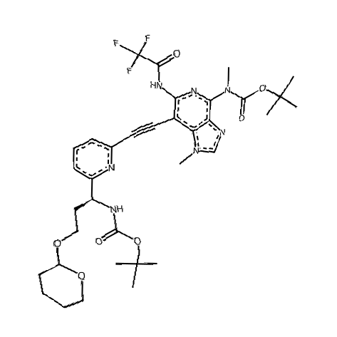 CN(C(=O)OC(C)(C)C)c1nc(NC(=O)C(F)(F)F)c(C#Cc2cccc([C@H](CCOC3CCCCO3)NC(=O)OC(C)(C)C)n2)c2c1ncn2C